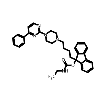 O=C(NCC(F)(F)F)OC1(CCCCN2CCN(c3nccc(-c4ccccc4)n3)CC2)c2ccccc2-c2ccccc21